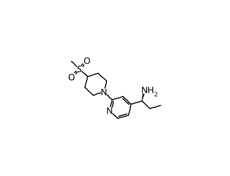 CC[C@H](N)c1ccnc(N2CCC(S(C)(=O)=O)CC2)c1